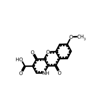 COc1ccc2c(=O)c3[nH]cc(C(=O)O)c(=O)c3oc2c1